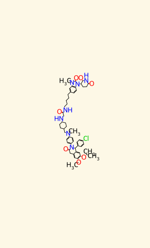 COc1cc2c(cc1OC(C)C)C(c1ccc(Cl)cc1)N(c1ccc(N(C)CC3CCC(NCC(=O)NCCCCCc4ccc5c(c4)n(C)c(=O)n5C4CCC(=O)NC4=O)CC3)cc1)C(=O)C2